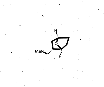 CNC[C@@H]1C[C@H]2CC[C@@H]1O2